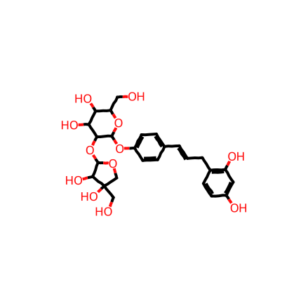 OCC1OC(Oc2ccc(C=CCc3ccc(O)cc3O)cc2)C(OC2OCC(O)(CO)C2O)C(O)C1O